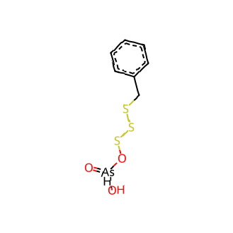 O=[AsH](O)OSSSCc1ccccc1